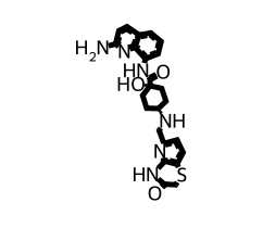 Nc1ccc2cccc(NC(=O)[C@]3(O)CC[C@@H](NCc4ccc5c(n4)NC(=O)CS5)CC3)c2n1